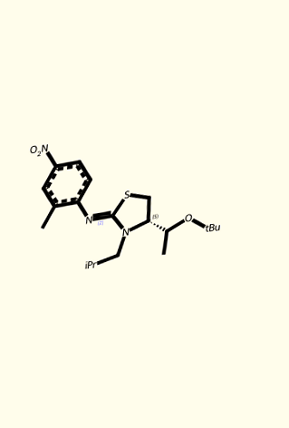 Cc1cc([N+](=O)[O-])ccc1/N=C1\SC[C@H](C(C)OC(C)(C)C)N1CC(C)C